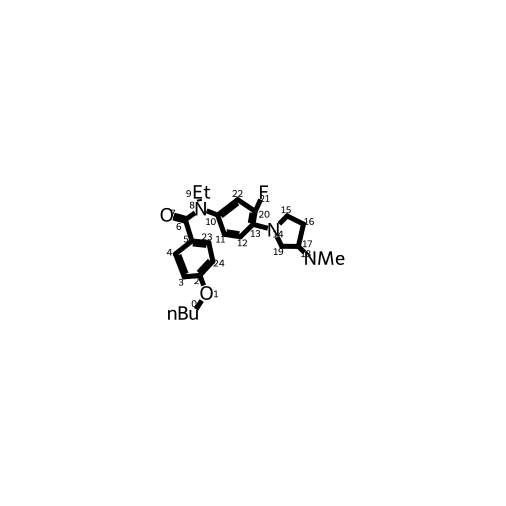 CCCCOc1ccc(C(=O)N(CC)c2ccc(N3CCC(NC)C3)c(F)c2)cc1